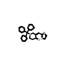 O=C1CCN(C(c2ccccc2)(c2ccccc2)c2ccccc2)C/C1=C/c1ncco1